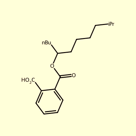 CCCCC(CCCCC(C)C)OC(=O)c1ccccc1C(=O)O